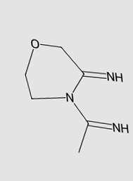 CC(=N)N1CCOCC1=N